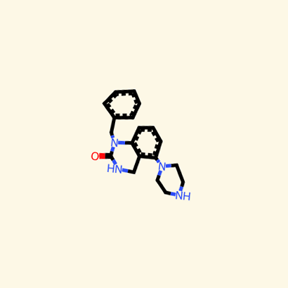 O=C1NCc2c(N3CCNCC3)cccc2N1Cc1ccccc1